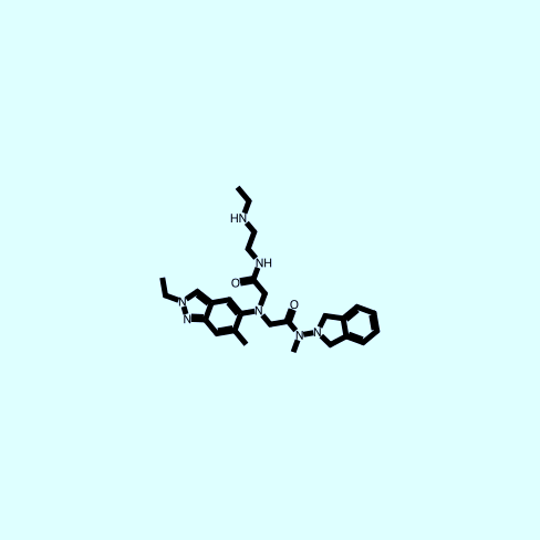 CCNCCNC(=O)CN(CC(=O)N(C)N1Cc2ccccc2C1)c1cc2cn(CC)nc2cc1C